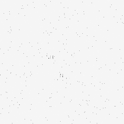 COc1ccc2c(c1OC)C2[N+](=O)[O-].N